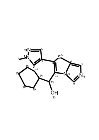 Cn1cc(-c2sc3cncn3c2C(O)C2CCCCC2)cn1